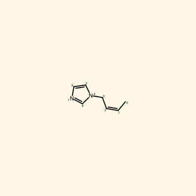 C/C=C\Cn1ccnc1